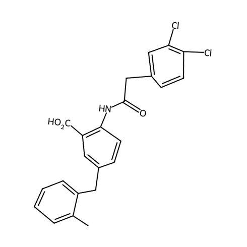 Cc1ccccc1Cc1ccc(NC(=O)Cc2ccc(Cl)c(Cl)c2)c(C(=O)O)c1